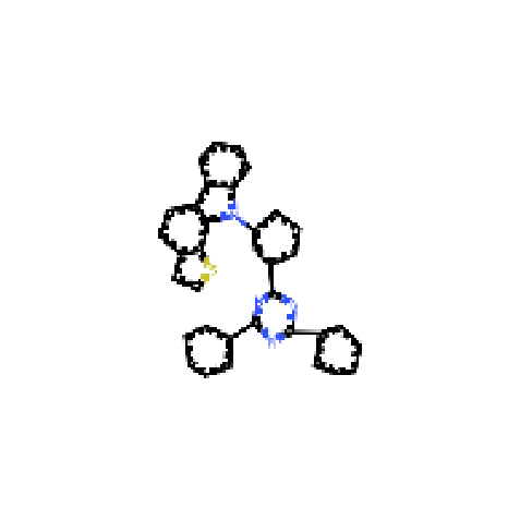 c1ccc(-c2nc(-c3ccccc3)nc(-c3cccc(-n4c5ccccc5c5ccc6ccsc6c54)c3)n2)cc1